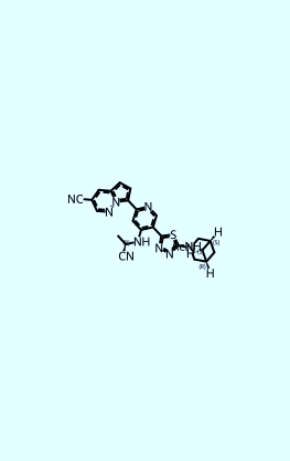 CC(=O)N[C@@H]1[C@@H]2C[C@H]1CN(c1nnc(-c3cnc(-c4ccc5cc(C#N)cnn45)cc3N[C@H](C)C#N)s1)C2